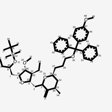 C=C1C(C[C@@H]2O[C@H](C[C@@H](CC)O[Si](C)(C)C(C)(C)C)[C@H](OC)[C@H]2CC)O[C@@H](CCCOC(c2ccccc2)(c2ccccc2)c2ccc(OC)cc2)C[C@H]1C